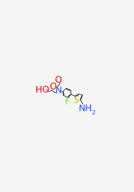 NCc1ccc(-c2ccc(N3CC(CO)OC3C=O)cc2F)s1